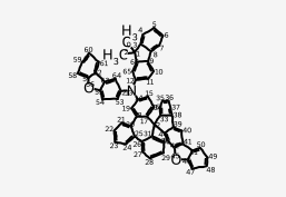 CC1(C)c2ccccc2-c2ccc(N(c3ccc4c(c3)-c3ccccc3-c3ccccc3C43c4ccccc4-c4cc5c(cc43)oc3ccccc35)c3ccc4oc5ccccc5c4c3)cc21